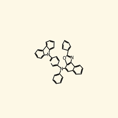 C=C(/C=C\C(=C/C)N(c1ccccc1)c1cc2ccccc2c2nc(-c3ccccc3)oc12)n1c2ccccc2c2ccccc21